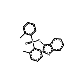 Cc1ccccc1P(=O)(On1nnc2ccccc21)c1ccccc1C